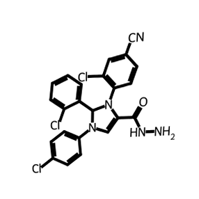 N#Cc1ccc(N2C(C(=O)NN)=CN(c3ccc(Cl)cc3)C2c2ccccc2Cl)c(Cl)c1